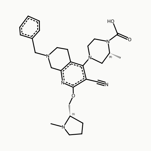 C[C@@H]1CN(c2c(C#N)c(OC[C@@H]3CCCN3C)nc3c2CCN(Cc2ccccc2)C3)CCN1C(=O)O